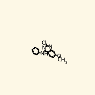 COc1ccc2c(Nc3ccccc3)nc(Cl)nc2c1